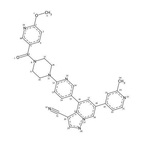 COc1ccc(C(=O)N2CCN(c3ccc(-c4cc(-c5ccnc(C)c5)cn5ncc(C#N)c45)cn3)CC2)cn1